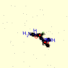 CC[C@@]12CC3(C(=O)NN4CCNCC4)CC(c4ccc([C@]56CC7CC(C(=O)N[C@H]8CC[C@@H](CN)CC8)(C[C@](CCF)(C7)C5)C6)cc4)(C1)C[C@](c1ccccc1)(C3)C2